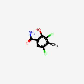 Cc1c(Cl)cc(C(N)=O)c(O)c1Cl